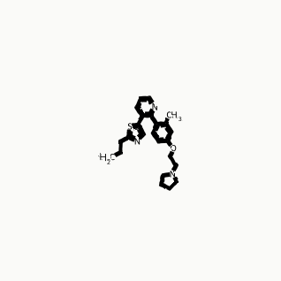 [CH2]CCc1ncc(-c2cccnc2-c2ccc(OCCN3CCCC3)cc2C)s1